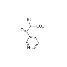 CCC(C(=O)O)C(=O)c1cccnc1